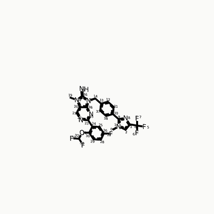 Cn1cc(C(F)(F)F)nc1-c1ccc(Cn2c(=N)n(C)c3cnc(-c4cc(F)ccc4OC(F)F)nc32)cc1